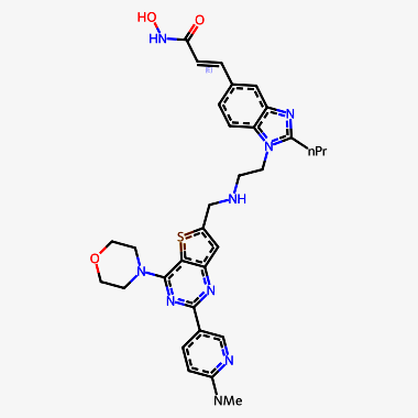 CCCc1nc2cc(/C=C/C(=O)NO)ccc2n1CCNCc1cc2nc(-c3ccc(NC)nc3)nc(N3CCOCC3)c2s1